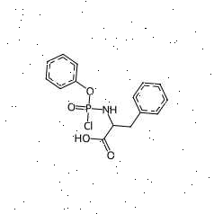 O=C(O)C(Cc1ccccc1)NP(=O)(Cl)Oc1ccccc1